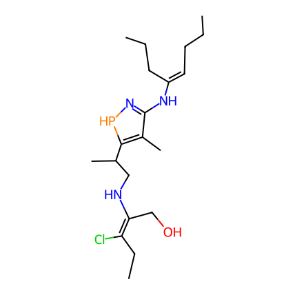 CCC/C=C(\CCC)Nc1n[pH]c(C(C)CN/C(CO)=C(\Cl)CC)c1C